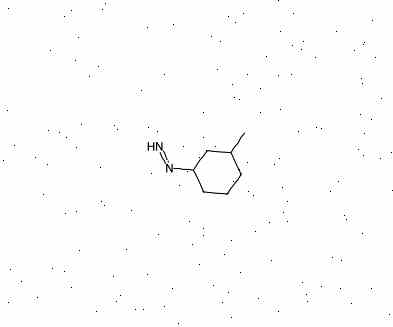 CC1CCCC(N=N)C1